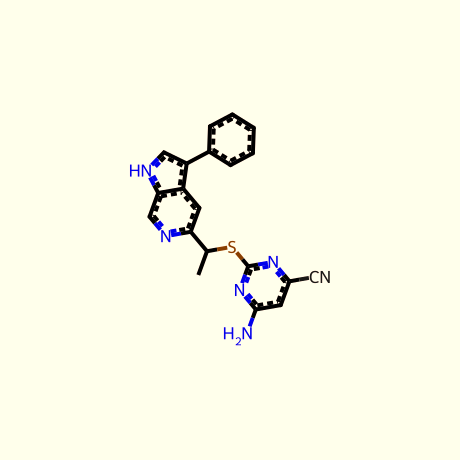 CC(Sc1nc(N)cc(C#N)n1)c1cc2c(-c3ccccc3)c[nH]c2cn1